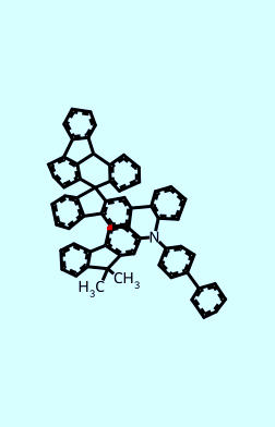 CC1(C)c2ccccc2-c2ccc(N(c3ccc(-c4ccccc4)cc3)c3ccccc3-c3ccc4c(c3)C3(c5ccccc5-4)c4ccccc4C4c5ccccc5-c5cccc3c54)cc21